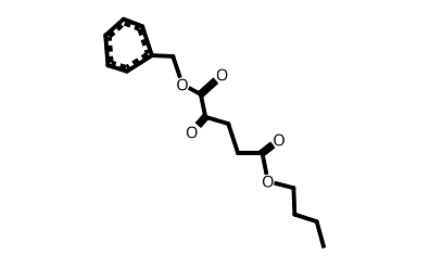 CCCCOC(=O)CCC(=O)C(=O)OCc1ccccc1